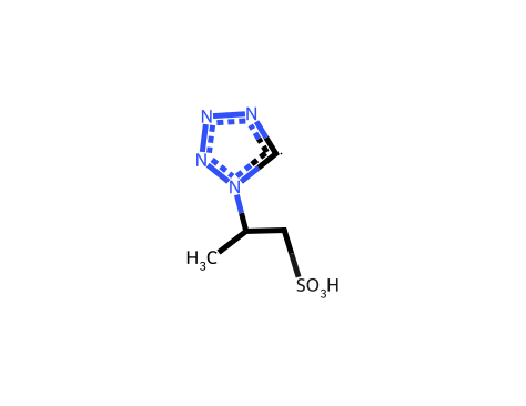 CC(CS(=O)(=O)O)n1[c]nnn1